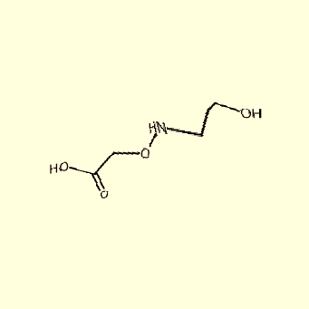 O=C(O)CONCCO